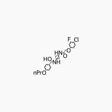 CCCOc1ccc(C(O)NC23CC(NC(=O)COc4ccc(Cl)c(F)c4)(C2)C3)cc1